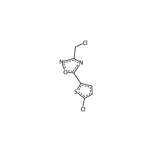 ClCc1noc(-c2ccc(Cl)s2)n1